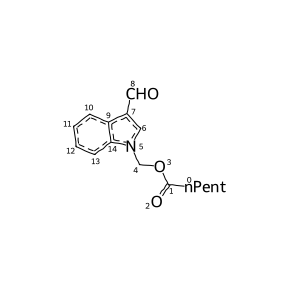 CCCCCC(=O)OCn1cc(C=O)c2ccccc21